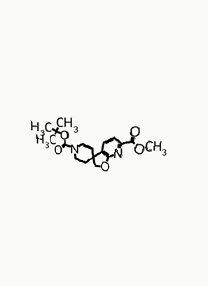 COC(=O)c1ccc2c(n1)OCC21C=CN(C(=O)OC(C)(C)C)CC1